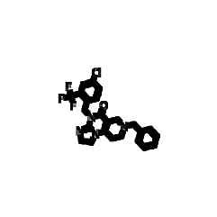 O=C1C2=C(CCN(Cc3ccccc3)C2)N2CCN=C2N1Cc1ccc(Cl)cc1C(F)(F)F